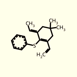 C=CC1=C(Sc2ccccc2)/C(=C/C)CC(C)(C)C1